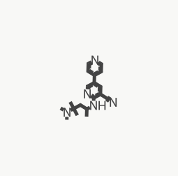 CC(CC(C)(C)N(C)C)Nc1ncc(-c2ccncc2)cc1C#N